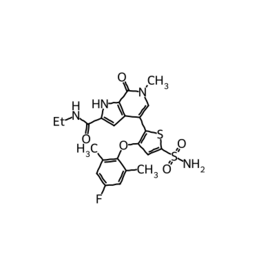 CCNC(=O)c1cc2c(-c3sc(S(N)(=O)=O)cc3Oc3c(C)cc(F)cc3C)cn(C)c(=O)c2[nH]1